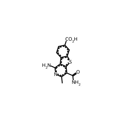 Cc1nc(N)c2c(sc3cc(C(=O)O)ccc32)c1C(N)=O